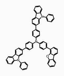 c1ccc(-n2c3ccccc3c3ccc(-c4ccc(N(c5ccc(-c6ccc7c8ccccc8n(-c8ccccc8)c7c6)cc5)c5ccc(-c6cccc7c6oc6ccccc67)cc5)cc4)cc32)cc1